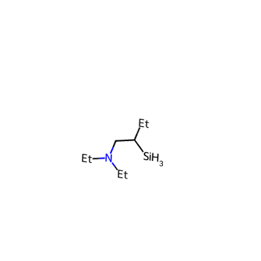 CCC([SiH3])CN(CC)CC